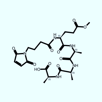 COC(=O)CC[C@H](NC(=O)CCCN1C(=O)C=CC1=O)C(=O)N[C@@H](C)C(=O)N[C@@H](C)C(=O)N[C@@H](C)C(=O)O